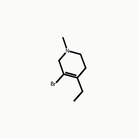 CCC1=C(Br)CN(C)CC1